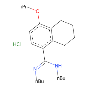 CCCCN=C(NCCCC)c1ccc(OC(C)C)c2c1CCCC2.Cl